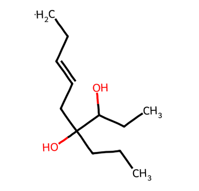 [CH2]CC=CCC(O)(CCC)C(O)CC